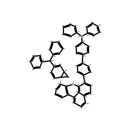 C1=C[C@]2(c3cccc4c3Oc3c(-c5ccc(-c6ccc(N(c7ccccc7)c7ccccc7)cc6)cc5)ccc5cccc-4c35)CC2C=C1C(c1ccccc1)c1ccccc1